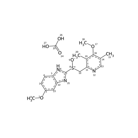 COc1ccc2[nH]c([S+]([O-])Cc3ncc(C)c(OC)c3C)nc2c1.O=C(O)O